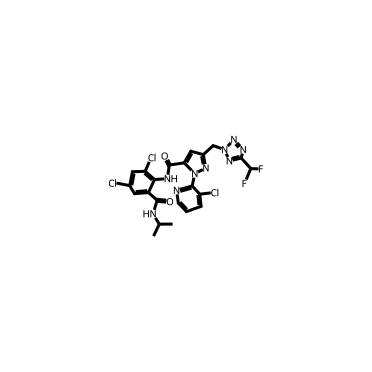 CC(C)NC(=O)c1cc(Cl)cc(Cl)c1NC(=O)c1cc(Cn2nnc(C(F)F)n2)nn1-c1ncccc1Cl